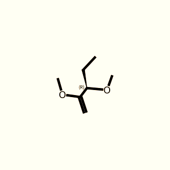 C=C(OC)[C@@H](CC)OC